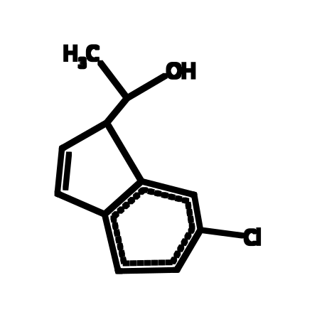 CC(O)C1C=Cc2ccc(Cl)cc21